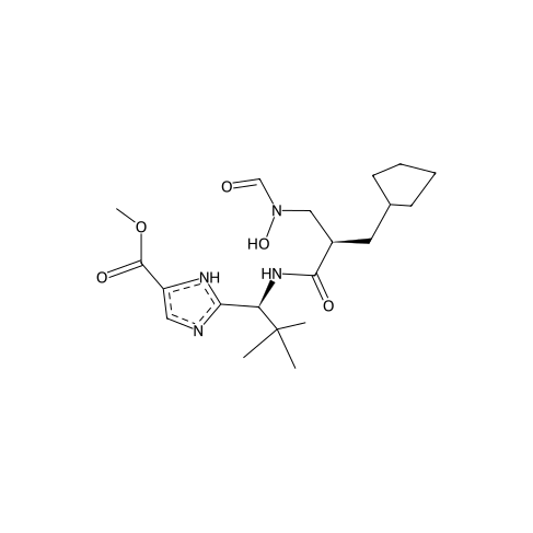 COC(=O)c1cnc([C@@H](NC(=O)[C@H](CC2CCCC2)CN(O)C=O)C(C)(C)C)[nH]1